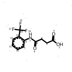 O=C(O)CCC(=O)Nc1ccccc1C(F)(F)F